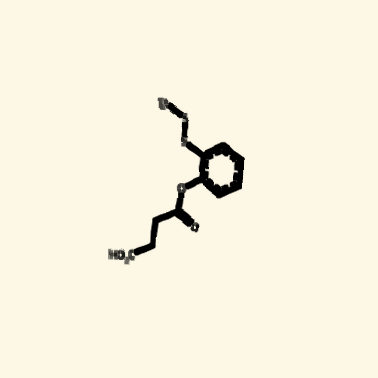 CCSSc1ccccc1OC(=O)CCC(=O)O